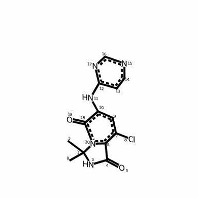 CC1(C)NC(=O)c2c(Cl)cc(Nc3ccncn3)c(=O)n21